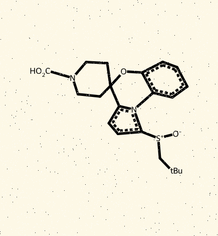 CC(C)(C)C[S+]([O-])c1ccc2n1-c1ccccc1OC21CCN(C(=O)O)CC1